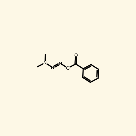 CN(C)N=NOC(=O)c1ccccc1